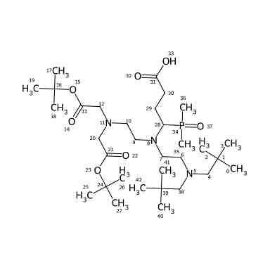 CC(C)(C)CN(CCN(CCN(CC(=O)OC(C)(C)C)CC(=O)OC(C)(C)C)C(CCC(=O)O)P(C)(C)=O)CC(C)(C)C